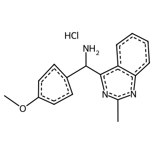 COc1ccc(C(N)c2nc(C)nc3ccccc23)cc1.Cl